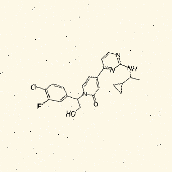 CC(Nc1nccc(-c2ccn(C(CO)c3ccc(Cl)c(F)c3)c(=O)c2)n1)C1CC1